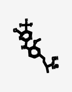 COc1cc(CCC(C)[PH](=O)O)ccc1Nc1ncc(C(F)(F)F)c(Cl)n1